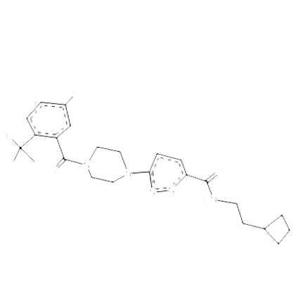 O=C(NCCC1CCC1)c1ccc(N2CCN(C(=O)c3cc(Cl)ccc3C(F)(F)F)CC2)nn1